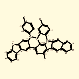 Cc1ccc(N2B3c4cc(C)ccc4-n4c5cc6ccccc6cc5c5c(C)cc(c3c54)-c3cc4c(cc32)oc2ccccc24)cc1